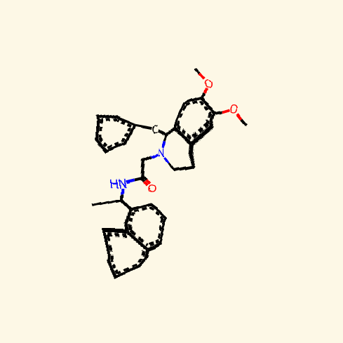 COc1cc2c(cc1OC)C(Cc1ccccc1)N(CC(=O)NC(C)c1cccc3ccccc13)CC2